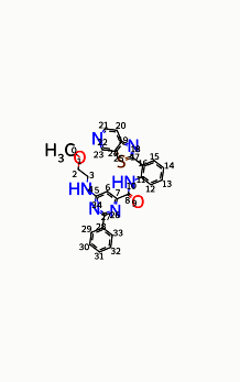 COCCNc1cc(C(=O)Nc2ccccc2-c2nc3ccncc3s2)nc(-c2ccccc2)n1